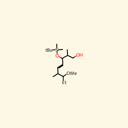 CCC(OC)C(C)/C=C/C(O[Si](C)(C)C(C)(C)C)C(C)CO